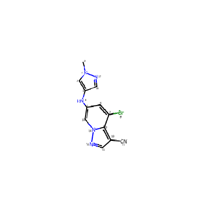 Cn1cc(Nc2cc(Br)c3c(C#N)cnn3c2)cn1